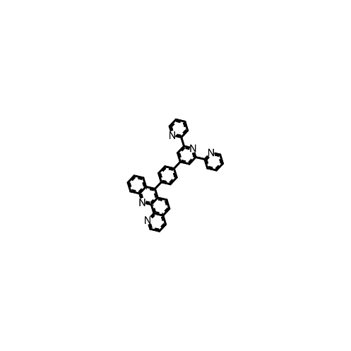 c1ccc(-c2cc(-c3ccc(-c4c5ccccc5nc5c4ccc4cccnc45)cc3)cc(-c3ccccn3)n2)nc1